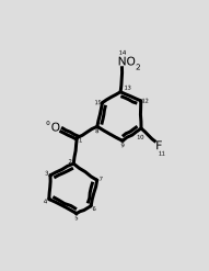 O=C(c1ccccc1)c1cc(F)cc([N+](=O)[O-])c1